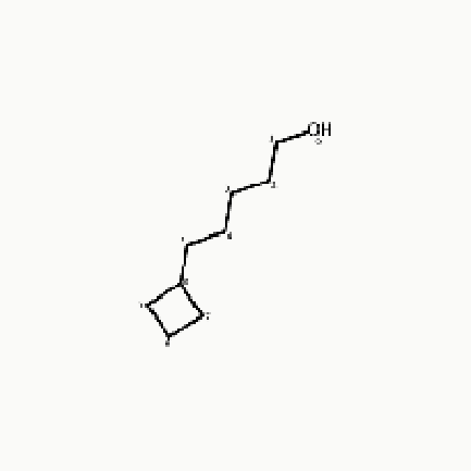 OCCCCCC1CCC1